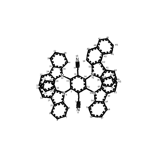 N#Cc1c(-n2c3ccccc3c3ccccc32)c(-n2c3ccccc3c3ccccc32)c(C#N)c(-n2c3ccccc3c3c4ccccc4ccc32)c1-n1c2ccccc2c2ccccc21